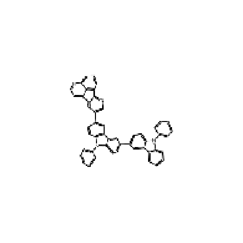 c1ccc(-n2c3ccccc3c3cc(-c4ccc5c(c4)c4cc(-c6cnc7c(c6)-c6ccnc8cccc-7c68)ccc4n5-c4ccccc4)ccc32)cc1